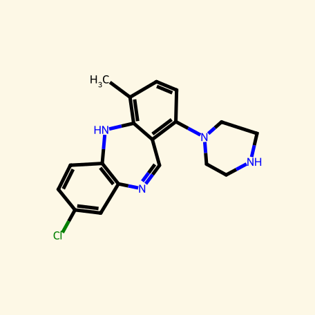 Cc1ccc(N2CCNCC2)c2c1Nc1ccc(Cl)cc1N=C2